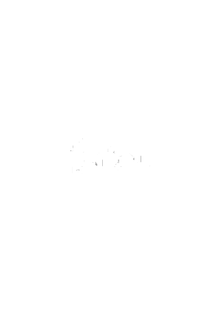 C=CC(=O)OCCC1(C(C)C)COC1